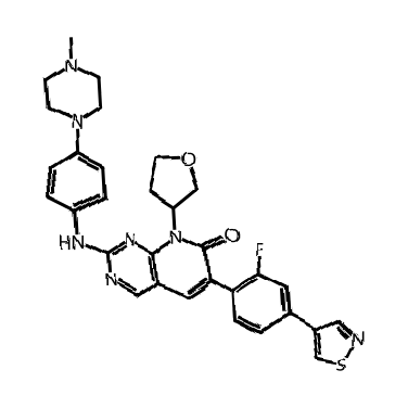 CN1CCN(c2ccc(Nc3ncc4cc(-c5ccc(-c6cnsc6)cc5F)c(=O)n(C5CCOC5)c4n3)cc2)CC1